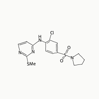 CSc1nccc(Nc2ccc(S(=O)(=O)N3CCCC3)cc2Cl)n1